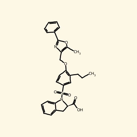 CCCc1cc(S(=O)(=O)N2c3ccccc3C[C@@H]2C(=O)O)ccc1OCc1nc(-c2ccccc2)oc1C